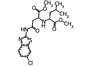 COC(=O)C(CC(=O)Nc1nc2ccc(Cl)cc2s1)N[C@@H](CC(C)C)C(=O)OC